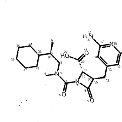 C[C@@H](CN(C)C(=O)N1C(=O)[C@H](Cc2ccnc(N)c2)[C@H]1C(=O)O)C1CCCCC1